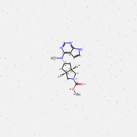 CN(c1ncnc2[nH]ccc12)[C@@H]1C[C@@H]2CN(C(=O)OC(C)(C)C)C[C@@H]2C1